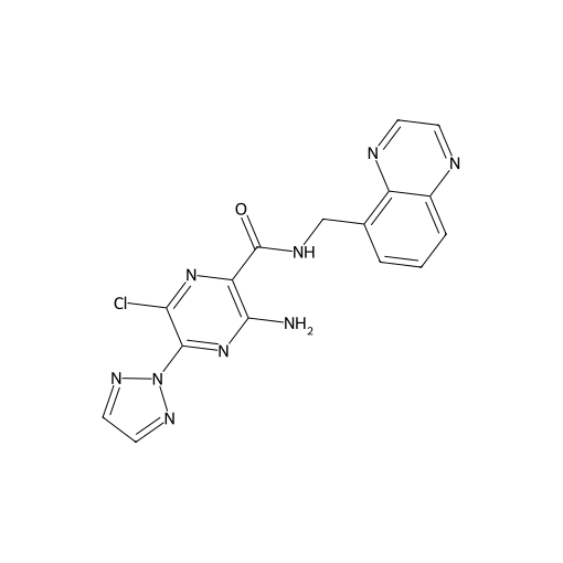 Nc1nc(-n2nccn2)c(Cl)nc1C(=O)NCc1cccc2nccnc12